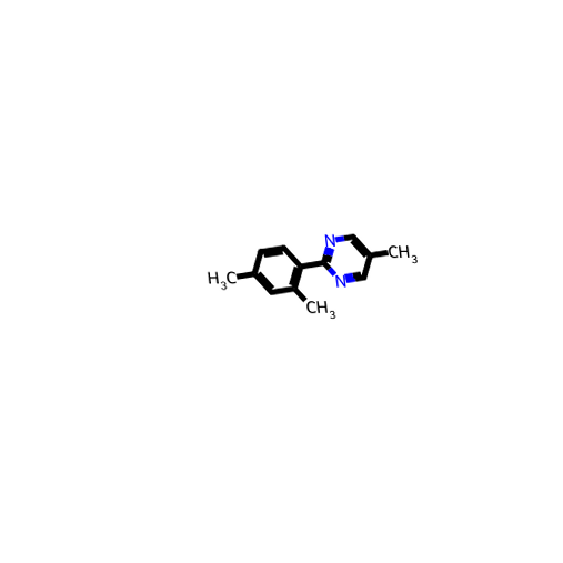 Cc1cnc(-c2ccc(C)cc2C)nc1